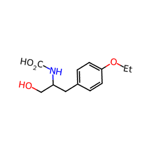 CCOc1ccc(CC(CO)NC(=O)O)cc1